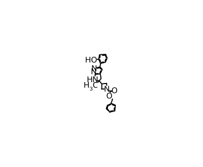 CC1(C2CN(C(=O)OCc3ccccc3)C2)Cc2cc(-c3ccccc3O)nnc2N1